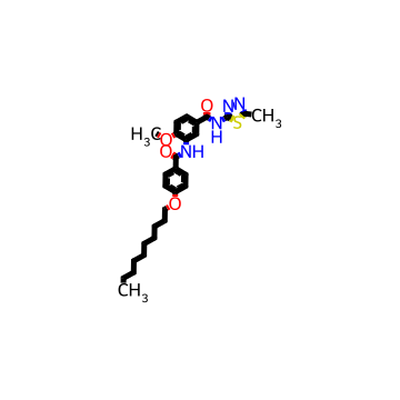 CCCCCCCCCCOc1ccc(C(=O)Nc2cc(C(=O)Nc3nnc(C)s3)ccc2OC)cc1